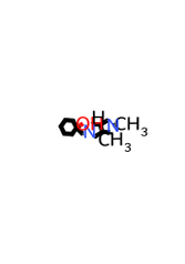 CN1C[C@H]2CN(CC3(O)CCCCC3)C[C@@]2(C)C1